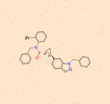 CC(C)c1ccccc1N(Cc1ccccc1)C(=O)[C@@H]1C[C@H]1c1ccc2cnn(Cc3ccccc3)c2c1